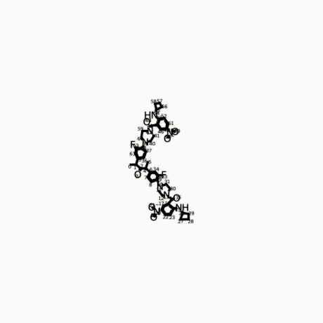 CC(C(=O)C(C)c1ccc(N2CCN(C(=O)c3cc([N+](=O)[O-])ccc3NC3CCC3)CC2)c(F)c1)c1ccc(N2CCN(C(=O)c3cc([N+](=O)[O-])ccc3NC3CCC3)CC2)c(F)c1